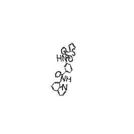 O=C(Nc1cccc2cccnc12)c1cccc(NS(=O)(=O)c2cccs2)c1